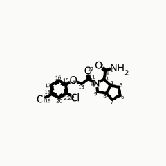 NC(=O)C1C2CCCC2CN1C(=O)COc1ccc(Cl)cc1Cl